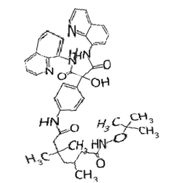 CC(CC(=O)NOC(C)(C)C)CC(C)(C)CC(=O)Nc1ccc(C(O)(C(=O)Nc2cccc3cccnc23)C(=O)Nc2cccc3cccnc23)cc1